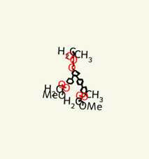 C=C(C)C(=O)OCCOc1ccc(-c2ccc(C3=CCC(C)(OC(=O)C(=C)COC)C=C3)cc2)c(C2CCC(OC(=O)C(=C)COC)CC2)c1